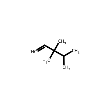 [CH]=CC(C)(C)C(C)C